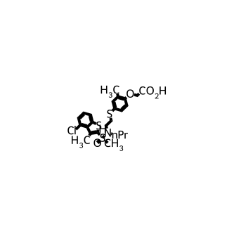 CCCN(CCSc1ccc(OCC(=O)O)c(C)c1)[SH](C)(=O)c1sc2cccc(Cl)c2c1C